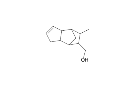 CC1C2CC(C1CO)C1CC=CC21